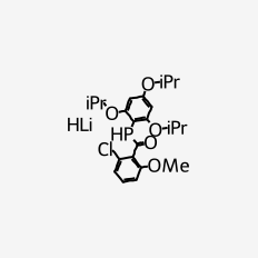 COc1cccc(Cl)c1C(=O)Pc1c(OC(C)C)cc(OC(C)C)cc1OC(C)C.[LiH]